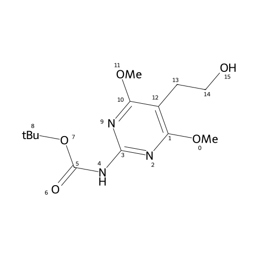 COc1nc(NC(=O)OC(C)(C)C)nc(OC)c1CCO